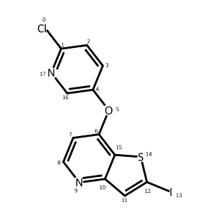 Clc1ccc(Oc2ccnc3cc(I)sc23)cn1